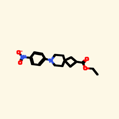 CCOC(=O)C1CC2(CCN(c3ccc([N+](=O)[O-])cc3)CC2)C1